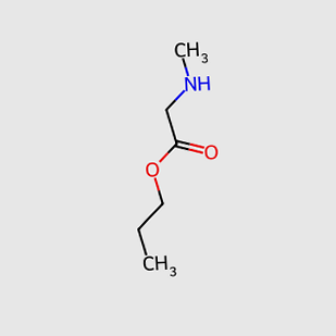 CCCOC(=O)CNC